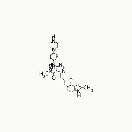 Cc1cc2c(F)c(CCCc3ncnc(Nc4ccc(N5CCNCC5)cc4)c3C(=O)N(C)C)ccc2[nH]1